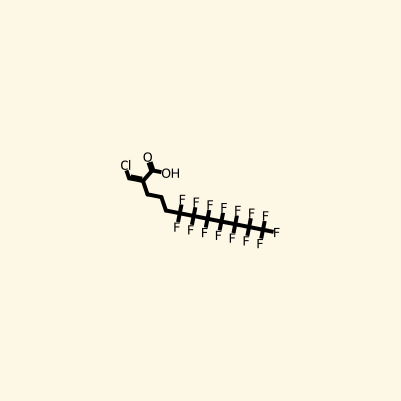 O=C(O)C(=CCl)CCCC(F)(F)C(F)(F)C(F)(F)C(F)(F)C(F)(F)C(F)(F)C(F)(F)F